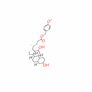 COc1ccc(COC(=O)CC[C@@H](C)[C@H]2CC[C@H]3[C@@H]4CC[C@@H]5C[C@H](O)CC[C@]5(C)[C@H]4C[C@H](O)[C@]23C)cc1